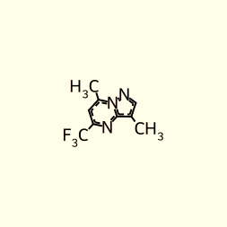 Cc1cnn2c(C)cc(C(F)(F)F)nc12